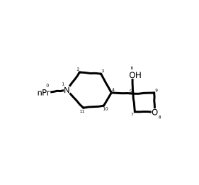 CCCN1CCC(C2(O)COC2)CC1